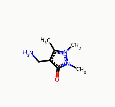 Cc1c(CN)c(=O)n(C)n1C